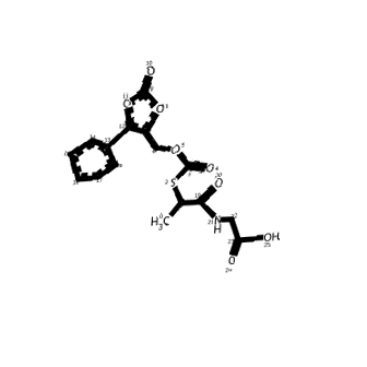 CC(SC(=O)OCc1oc(=O)oc1-c1ccccc1)C(=O)NCC(=O)O